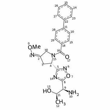 CON=C1C[C@@H](c2noc([C@@H](N)[C@@H](C)O)n2)N(C(=O)c2ccc(-c3ccccc3)cc2)C1